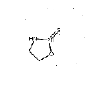 S=[PH]1NCCO1